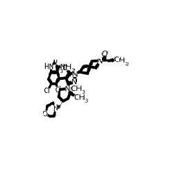 C=CC(=O)N1CC2(CC(n3nc(N4CC[C@@H](CN5CCOCC5)CC4(C)C)c(-c4c(Cl)c(Cl)cc5[nH]nc(N)c45)c3C)C2)C1